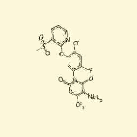 CS(=O)(=O)c1cccnc1Oc1cc(-n2c(=O)cc(C(F)(F)F)n(N)c2=O)c(F)cc1Cl